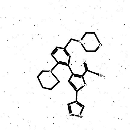 NC(=O)c1oc(-c2cn[nH]c2)cc1-c1cc(CN2CCOCC2)ccc1N1CCCCC1